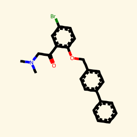 CN(C)CC(=O)c1cc(Br)ccc1OCc1ccc(-c2ccccc2)cc1